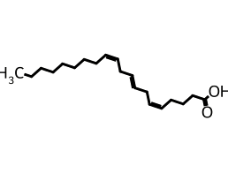 CCCCCCCC/C=C\C/C=C/C/C=C\CCCC(=O)O